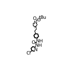 CC(C)(C)OC(=O)N1CC[C@H](CCc2ccc(NC(=O)Nc3ccc(Cl)cn3)cc2)C1